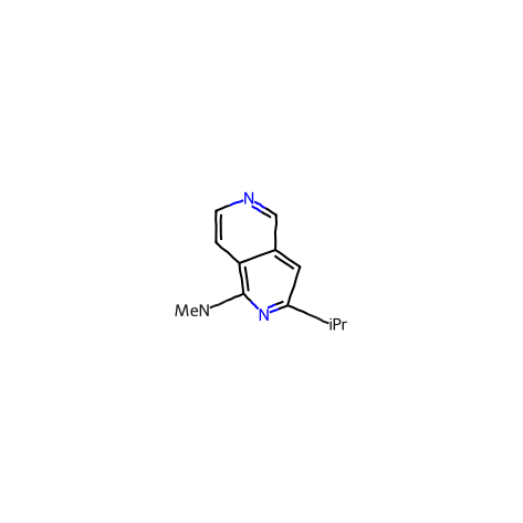 CNc1nc(C(C)C)cc2cnccc12